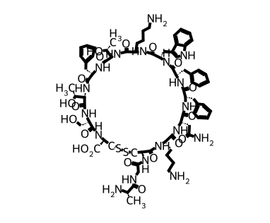 C[C@H](N)C(=O)NCC(=O)N[C@H]1CSSC[C@@H](C(=O)O)NC(=O)[C@H](CO)NC(=O)[C@H]([C@@H](C)O)NC(=O)[C@H](Cc2ccccc2)NC(=O)[C@H]([C@@H](C)O)NC(=O)C(CCCCN)NC(=O)[C@H](Cc2c[nH]c3ccccc23)NC(=O)[C@H](Cc2ccccc2)NC(=O)[C@H](Cc2ccccc2)NC(=O)[C@H](CC(N)=O)NC(=O)[C@H](CCCCN)NC1=O